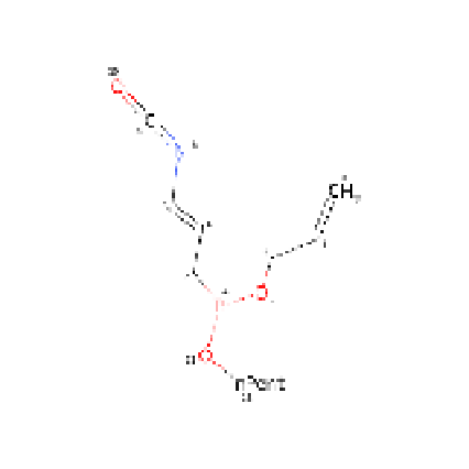 C=CCOB(CC=CN=C=O)OCCCCC